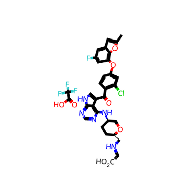 Cc1cc2cc(F)cc(Oc3ccc(C(=O)c4c[nH]c5ncnc(N[C@@H]6CC[C@@H](CNCC(=O)O)OC6)c45)c(Cl)c3)c2o1.O=C(O)C(F)(F)F